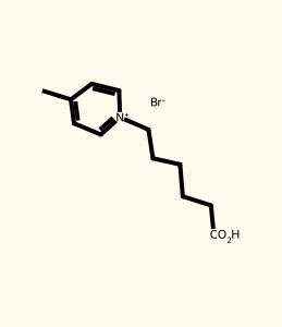 Cc1cc[n+](CCCCCC(=O)O)cc1.[Br-]